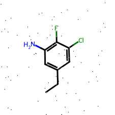 CCc1cc(N)c(F)c(Cl)c1